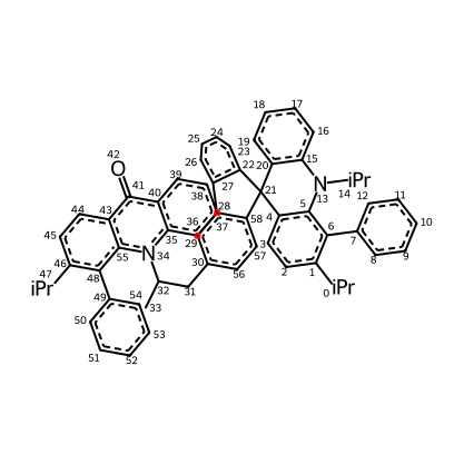 CC(C)c1ccc2c(c1-c1ccccc1)N(C(C)C)c1ccccc1C21c2ccccc2-c2cc(CC(C)n3c4ccccc4c(=O)c4ccc(C(C)C)c(-c5ccccc5)c43)ccc21